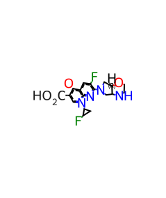 O=C(O)c1cn(C2CC2F)c2nc(N3CC4NCCO[C@@H]4C3)c(F)cc2c1=O